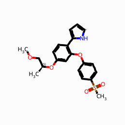 COC[C@H](C)Oc1ccc(-c2cc[c][nH]2)c(Oc2ccc(S(C)(=O)=O)cc2)c1